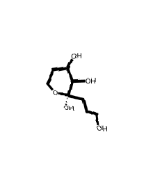 OCCC[C@@]1(O)OCCC(O)C1O